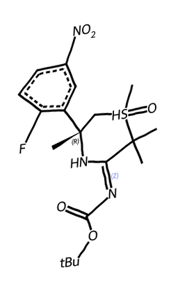 CC(C)(C)OC(=O)/N=C1\N[C@](C)(c2cc([N+](=O)[O-])ccc2F)C[SH](C)(=O)C1(C)C